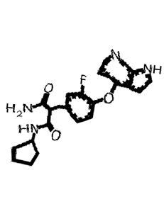 NC(=O)C(C(=O)NC1CCCC1)c1ccc(Oc2ccnc3[nH]ccc23)c(F)c1